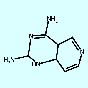 NC1=NC(N)NC2C=CN=CC12